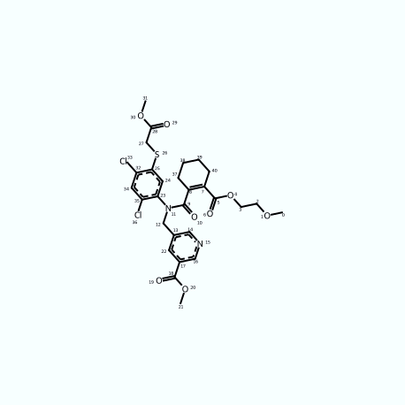 COCCOC(=O)C1=C(C(=O)N(Cc2cncc(C(=O)OC)c2)c2cc(SCC(=O)OC)c(Cl)cc2Cl)CCCC1